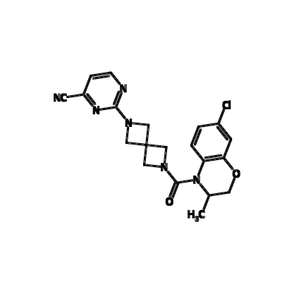 CC1COc2cc(Cl)ccc2N1C(=O)N1CC2(C1)CN(c1nccc(C#N)n1)C2